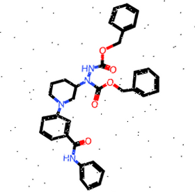 O=C(NN(C(=O)OCc1ccccc1)C1CCCN(c2cccc(C(=O)Nc3ccccc3)c2)C1)OCc1ccccc1